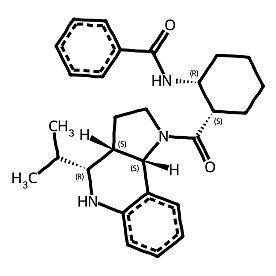 CC(C)[C@H]1Nc2ccccc2[C@@H]2[C@H]1CCN2C(=O)[C@H]1CCCC[C@H]1NC(=O)c1ccccc1